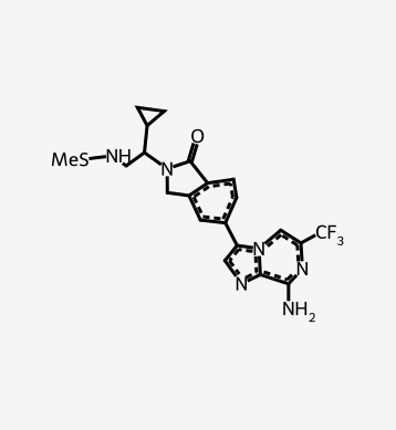 CSNCC(C1CC1)N1Cc2cc(-c3cnc4c(N)nc(C(F)(F)F)cn34)ccc2C1=O